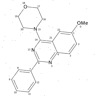 COc1ccc2nc(-c3ccccc3)nc(N3CCOCC3)c2c1